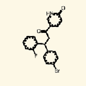 O=C(CC(c1ccc(Br)cc1)c1ccccc1F)c1ccc(=O)[nH]c1